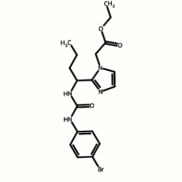 CCCC(NC(=O)Nc1ccc(Br)cc1)c1nccn1CC(=O)OCC